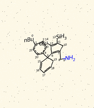 CCCCc1ccc(C2(C3=C(CN)CC([SiH3])=C3C(C)(C)C)C=CC=CC2)cc1